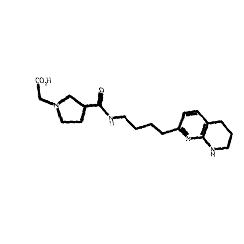 O=C(O)CN1CCC(C(=O)NCCCCc2ccc3c(n2)NCCC3)C1